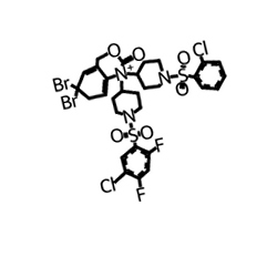 O=C1OCC2=CC(Br)(Br)CC=C2[N+]1(C1CCN(S(=O)(=O)c2cc(Cl)c(F)cc2F)CC1)C1CCN(S(=O)(=O)c2ccccc2Cl)CC1